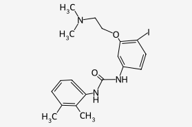 Cc1cccc(NC(=O)Nc2ccc(I)c(OCCN(C)C)c2)c1C